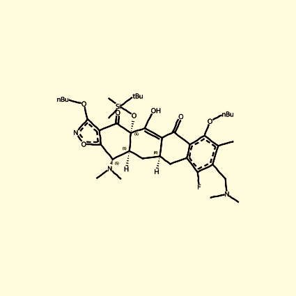 CCCCOc1noc2c1C(=O)[C@@]1(O[Si](C)(C)C(C)(C)C)C(O)=C3C(=O)c4c(c(F)c(CN(C)C)c(C)c4OCCCC)C[C@H]3C[C@H]1[C@@H]2N(C)C